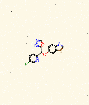 Fc1ccc(C(Oc2ccc3ncsc3c2)c2nnco2)nc1